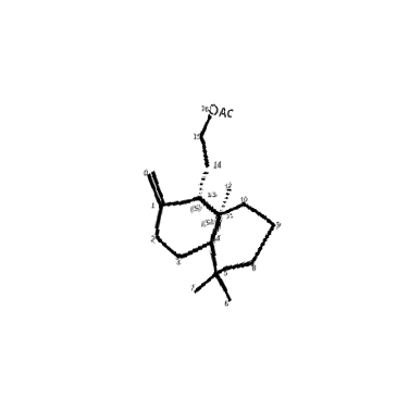 C=C1CCC2C(C)(C)CCC[C@]2(C)[C@H]1CCOC(C)=O